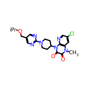 CC(C)OCc1cnc(N2CCC(n3c(=O)c(=O)n(C)c4cc(Cl)cnc43)CC2)nc1